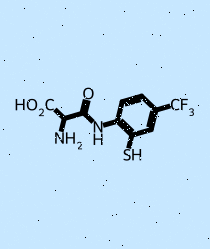 NC(C(=O)O)C(=O)Nc1ccc(C(F)(F)F)cc1S